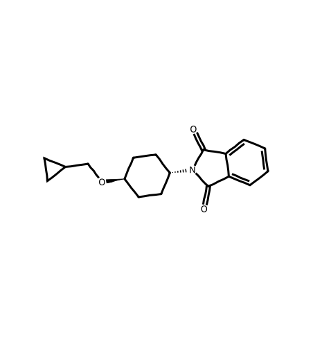 O=C1c2ccccc2C(=O)N1[C@H]1CC[C@H](OCC2CC2)CC1